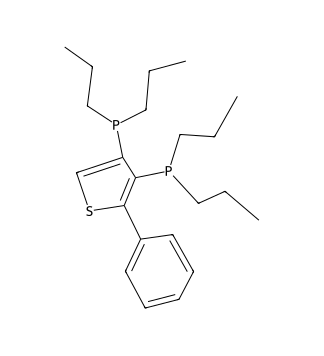 CCCP(CCC)c1csc(-c2ccccc2)c1P(CCC)CCC